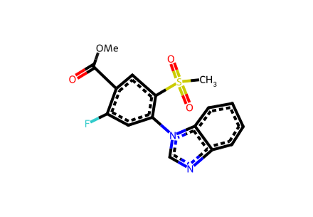 COC(=O)c1cc(S(C)(=O)=O)c(-n2cnc3ccccc32)cc1F